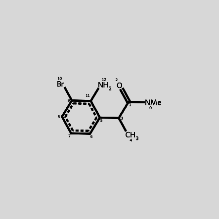 CNC(=O)C(C)c1cccc(Br)c1N